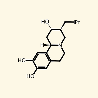 CC(C)C[C@H]1CN2CCc3cc(O)c(O)cc3[C@@H]2C[C@@H]1O